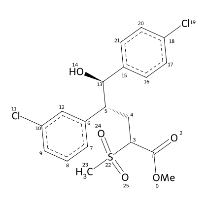 COC(=O)C(C[C@H](c1cccc(Cl)c1)[C@@H](O)c1ccc(Cl)cc1)S(C)(=O)=O